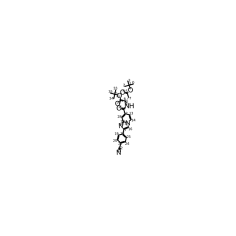 CC(C)(C)OC(=O)C[C@H](NC(=O)c1ccn2cc(-c3ccc(C#N)cc3)nc2c1)C(=O)OC(C)(C)C